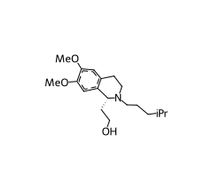 COc1cc2c(cc1OC)[C@@H](CCO)N(CCCC(C)C)CC2